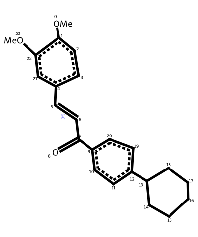 COc1ccc(/C=C/C(=O)c2ccc(C3CCCCC3)cc2)cc1OC